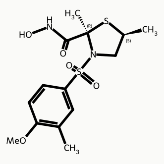 COc1ccc(S(=O)(=O)N2C[C@H](C)S[C@]2(C)C(=O)NO)cc1C